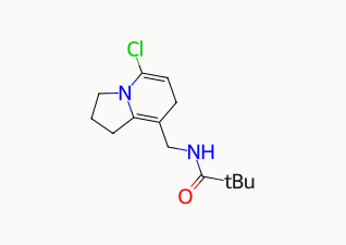 CC(C)(C)C(=O)NCC1=C2CCCN2C(Cl)=CC1